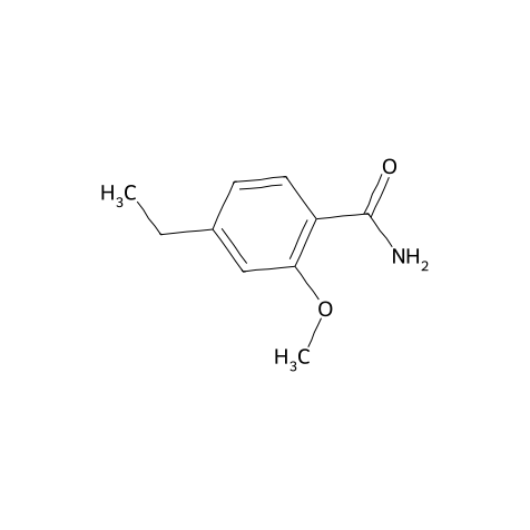 CCc1ccc(C(N)=O)c(OC)c1